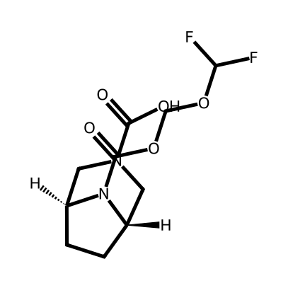 O=C(O)N1C[C@@H]2CC[C@@H](C1)N2C(=O)OCOC(F)F